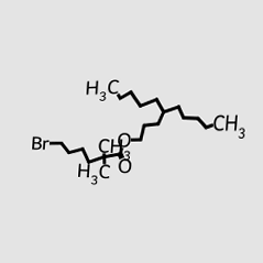 CCCCCC(CCCCC)CCCOC(=O)C(C)(C)CCCCBr